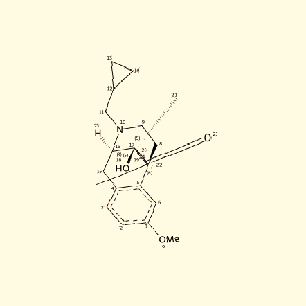 COc1ccc2c(c1)[C@]13CCN(CC4CC4)[C@H](C2)[C@]1(O)C[C@H](C)C(=O)C3